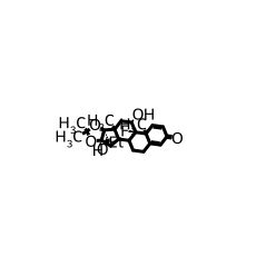 CCC(=O)[C@@]12OC(C)(C)O[C@@H]1CC1C3CCC4=CC(=O)C=CC4(C)[C@@]3(F)[C@@H](O)CC12C